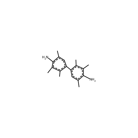 Cc1cc(-c2cc(C)c(N)c(C)c2C)c(C)c(C)c1N